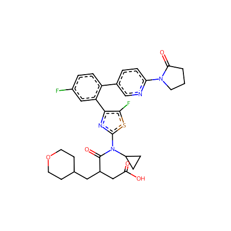 O=C(O)CC(CC1CCOCC1)C(=O)N(c1nc(-c2cc(F)ccc2-c2ccc(N3CCCC3=O)nc2)c(F)s1)C1CC1